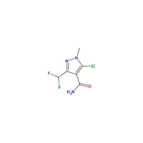 Cn1nc(C(F)F)c(C(N)=O)c1Cl